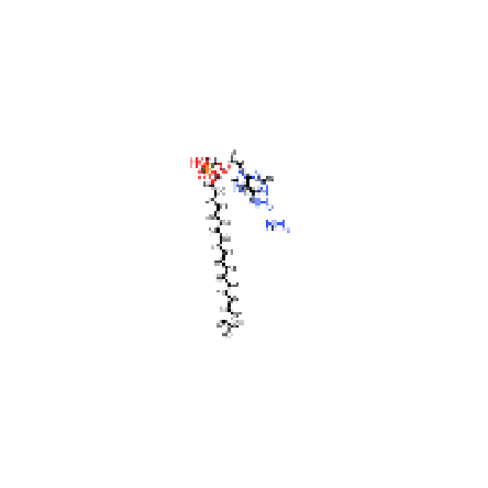 C[C@H](Cn1cnc2c(N)ncnc21)OCP(=O)(O)OCCCCCCCCCCCCCCCCCC[Si](C)(C)C.N